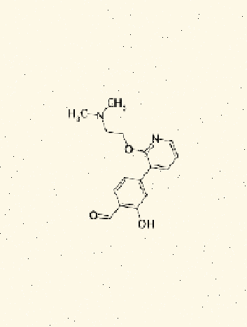 CN(C)CCOc1ncccc1-c1ccc(C=O)c(O)c1